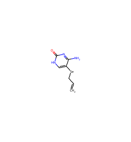 C=CC[Se]c1c[nH]c(=O)nc1N